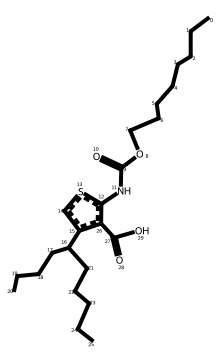 CCCCCCCCOC(=O)Nc1scc(C(CCCC)CCCCC)c1C(=O)O